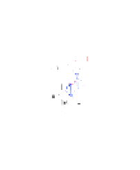 CC/C=C/C(C#N)=C(\C=C(/C)NC(=O)N1CCCc2cc(CO)c(C=O)nc21)NC(CCC)CCC1CCC1